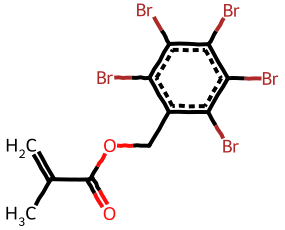 C=C(C)C(=O)OCc1c(Br)c(Br)c(Br)c(Br)c1Br